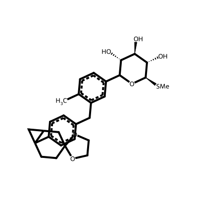 CS[C@H]1OC(c2ccc(C)c(Cc3ccc(C45CCC6(CC4C5)OCCO6)cc3)c2)[C@H](O)[C@@H](O)[C@@H]1O